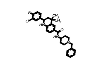 CC1(C)CC(c2ccc(F)c(Cl)c2)Nc2ccc(C(=O)NC3CCN(Cc4ccccc4)CC3)cc21